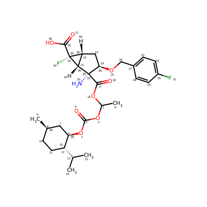 CC(OC(=O)O[C@@H]1C[C@H](C)CC[C@H]1C(C)C)OC(=O)[C@@]1(N)[C@H]2[C@@H](C[C@H]1OCc1ccc(F)cc1)[C@]2(F)C(=O)O